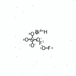 FOF.[BiH+4].[O-][Si]([O-])([O-])[O-]